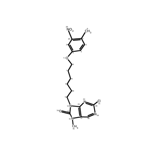 Cc1ccc(OCCCCCCn2c(=O)n(C)c3cnc(Cl)nc32)cc1[N+](=O)[O-]